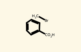 CBr.O=C(O)c1ccccc1